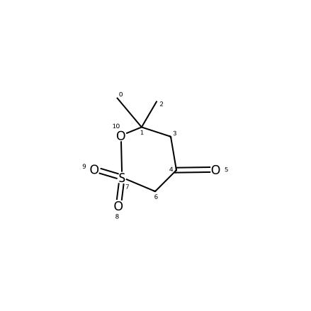 CC1(C)CC(=O)CS(=O)(=O)O1